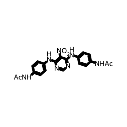 CC(=O)Nc1ccc(Nc2ncnc(Nc3ccc(NC(C)=O)cc3)c2[N+](=O)[O-])cc1